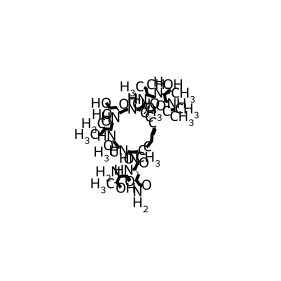 CC[C@H](C)[C@@H]1NC(=O)[C@H](C)NC(=O)[C@@](C)(NC(=O)[C@H](CCC(N)=O)NC(=O)[C@H](N)[C@@H](C)O)CCC/C=C/CCC[C@@](C)(C(=O)N[C@H](C(=O)N[C@H](C(=O)NC(C)(C)C)[C@@H](C)O)C(C)C)NC(=O)[C@H](CC(O)O)NC1=O